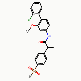 CCS(=O)(=O)c1ccc(C(C)C(=O)Nc2ccc(-c3ccccc3Cl)c(OC(F)(F)F)c2)cc1